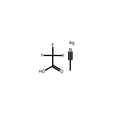 CC#N.O=C(O)C(F)(F)F.[Ag]